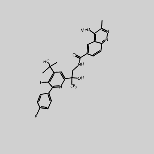 COc1c(C)nnc2ccc(C(=O)NCC(O)(c3cc(C(C)(C)O)c(F)c(-c4ccc(F)cc4)n3)C(F)(F)F)cc12